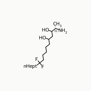 CCCCCCCC(F)(F)CCCCCC(O)CC(O)[C@H](C)N